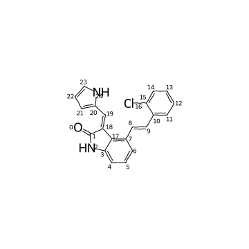 O=C1Nc2cccc(C=Cc3ccccc3Cl)c2C1=Cc1ccc[nH]1